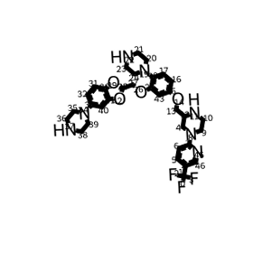 FC(F)(F)c1ccc(N2CCNC(COc3ccc(N4CCNCC4)c(OCC4Oc5ccc(N6CCNCC6)cc5O4)c3)C2)nc1